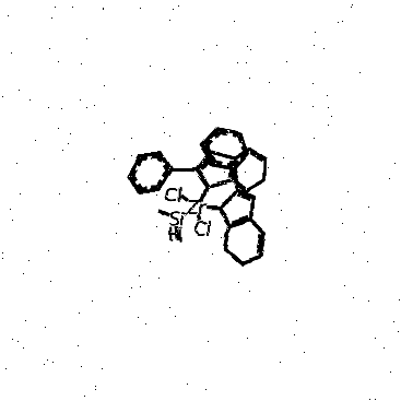 C[SiH](C)[Zr]([Cl])([Cl])([CH]1C(c2ccccc2)=CC2=C1CCC=C2)[CH]1C(c2ccccc2)=CC2=C1CCC=C2